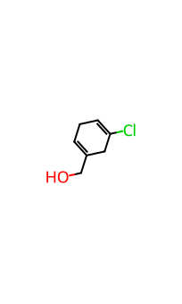 OCC1=CCC=C(Cl)C1